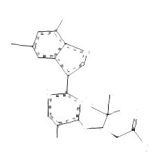 Cc1cc(F)c2[nH]cc(-c3ncc(F)c(N[C@H](CC(=O)O)C(C)(C)C)n3)c2c1